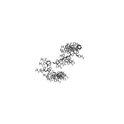 C=CCC1O[C@@H]([C@H](/C=C/C(O)CC[C@H]2CC(=C)C(CC[C@H]3C[C@@H](C)C(C)C(C[C@@H]4O[C@H](C[C@@H](CO[Si](C)(C)C(C)(C)C)O[Si](C)(C)C(C)(C)C)[C@H](OC)C4CC(=O)OC)O3)O2)O[Si](C)(C)C(C)(C)C)C(O[Si](C)(C)C(C)(C)C)C(O[Si](C)(C)C(C)(C)C)[C@H]1OC(=O)c1ccccc1